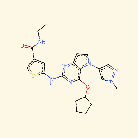 CCNC(=O)c1csc(Nc2nc(OC3CCCC3)c3c(ccn3-c3cnn(C)c3)n2)c1